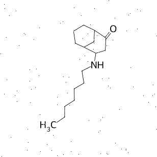 CCCCCCCNC1CC(=O)C2CCCC1C2